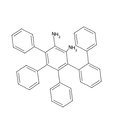 Nc1c(N)c(-c2ccccc2-c2ccccc2)c(-c2ccccc2)c(-c2ccccc2)c1-c1ccccc1